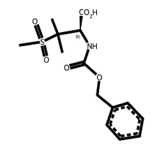 CC(C)([C@H](NC(=O)OCc1ccccc1)C(=O)O)S(C)(=O)=O